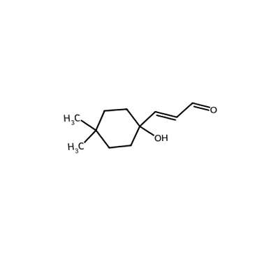 CC1(C)CCC(O)(C=CC=O)CC1